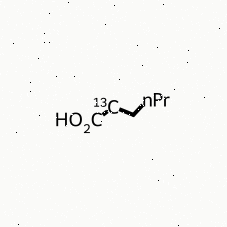 CCCC[13CH2][13C](=O)O